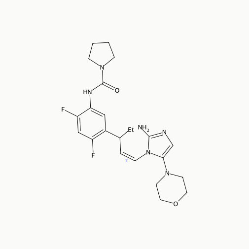 CCC(/C=C\n1c(N2CCOCC2)cnc1N)c1cc(NC(=O)N2CCCC2)c(F)cc1F